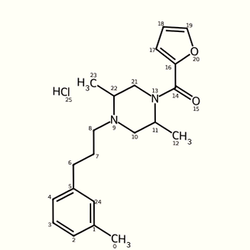 Cc1cccc(CCCN2CC(C)N(C(=O)c3ccco3)CC2C)c1.Cl